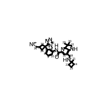 Cn1cnnc1C1(c2cccc(NC(=O)c3cc(CNC4(C)CCC4)c4c(n3)C(C)(C)CN4)c2)CC(CC#N)C1